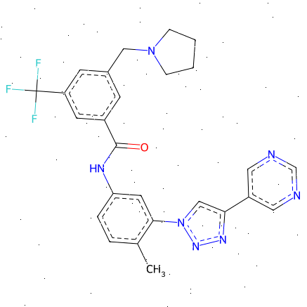 Cc1ccc(NC(=O)c2cc(CN3CCCC3)cc(C(F)(F)F)c2)cc1-n1cc(-c2cncnc2)nn1